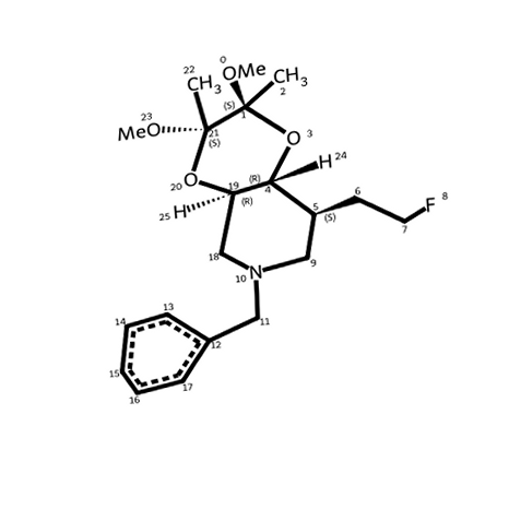 CO[C@@]1(C)O[C@@H]2[C@@H](CCF)CN(Cc3ccccc3)C[C@H]2O[C@]1(C)OC